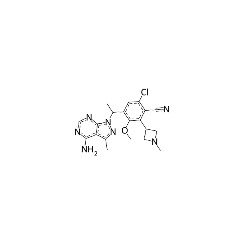 COc1c(C(C)n2nc(C)c3c(N)ncnc32)cc(Cl)c(C#N)c1C1CN(C)C1